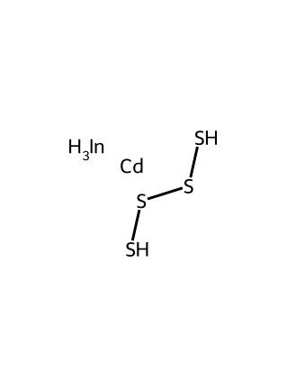 SSSS.[Cd].[InH3]